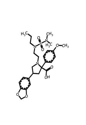 CCCN(CCN1CC(c2ccc3c(c2)OCO3)CC1(C(=O)O)c1ccc(OC)cc1)S(=O)(=O)N(C)C